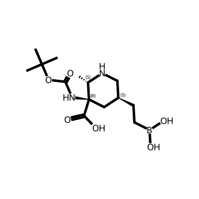 C[C@@H]1NC[C@@H](CCB(O)O)C[C@]1(NC(=O)OC(C)(C)C)C(=O)O